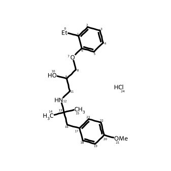 CCc1ccccc1OCC(O)CNC(C)(C)Cc1ccc(OC)cc1.Cl